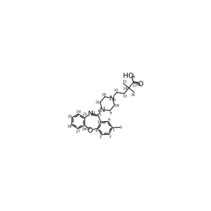 Cc1ccc2c(c1)C(N1CCN(CCC(C)(C)C(=O)O)CC1)=Nc1ccccc1O2